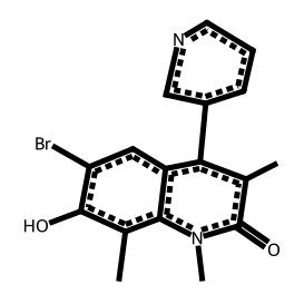 Cc1c(-c2cccnc2)c2cc(Br)c(O)c(C)c2n(C)c1=O